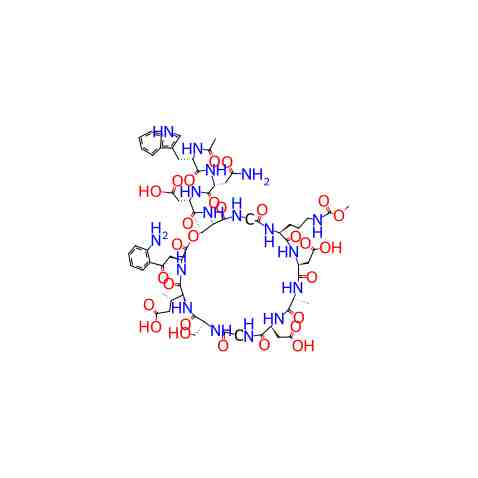 COC(=O)NCCC[C@@H]1NC(=O)CNC(=O)[C@@H](NC(=O)[C@H](CC(=O)O)NC(=O)[C@@H](CC(N)=O)NC(=O)[C@H](Cc2c[nH]c3ccccc23)NC(C)=O)[C@@H](C)OC(=O)[C@H](CC(=O)c2ccccc2N)NC(=O)[C@H]([C@@H](C)CC(=O)O)NC(=O)[C@@H](CO)NC(=O)CNC(=O)[C@H](CC(=O)O)NC(=O)[C@@H](C)NC(=O)[C@H](CC(=O)O)NC1=O